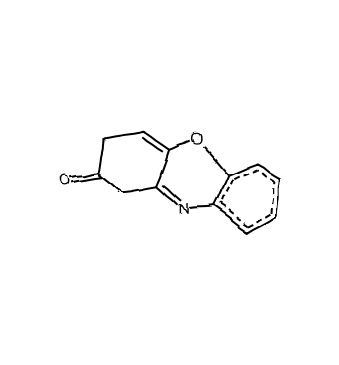 O=C1[CH]C2=Nc3ccccc3OC2=CC1